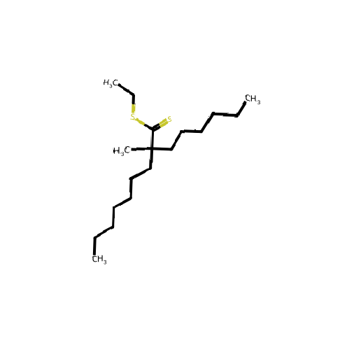 CCCCCCCC(C)(CCCCCC)C(=S)SCC